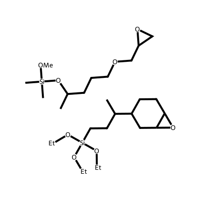 CCO[Si](CCC(C)C1CCC2OC2C1)(OCC)OCC.CO[Si](C)(C)OC(C)CCCOCC1CO1